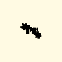 Cc1cc2nc(CCC(O)COCc3ccccc3)[nH]c2cc1C